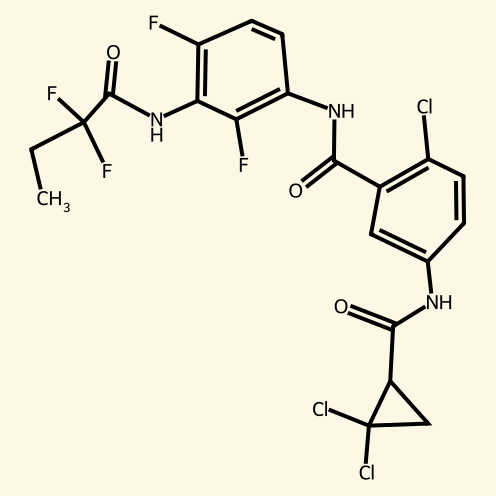 CCC(F)(F)C(=O)Nc1c(F)ccc(NC(=O)c2cc(NC(=O)C3CC3(Cl)Cl)ccc2Cl)c1F